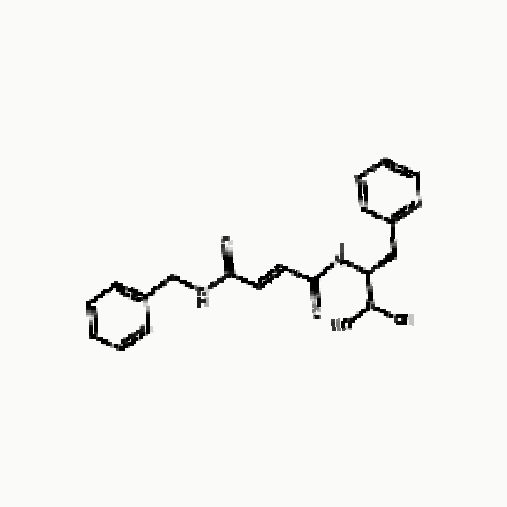 O=C(/C=C/C(=O)N[C@@H](Cc1ccccc1)B(O)O)NCc1ccccc1